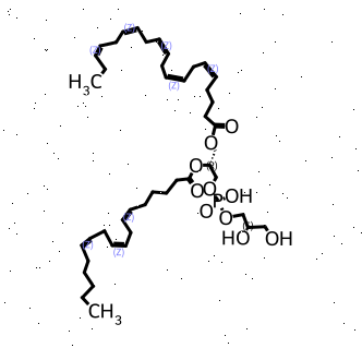 CC/C=C\C/C=C\C/C=C\C/C=C\C/C=C\CCCC(=O)OC[C@H](COP(=O)(O)OC[C@@H](O)CO)OC(=O)CCCC/C=C\C/C=C\C/C=C\CCCCC